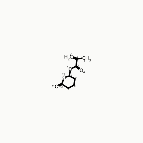 C=C(C)C(=O)OC1CCCC(=O)O1